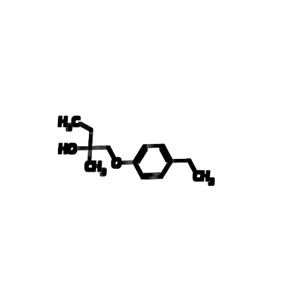 CCc1ccc(OCC(C)(O)CC)cc1